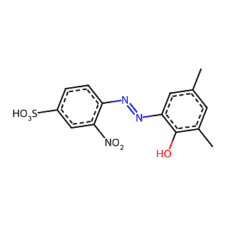 Cc1cc(C)c(O)c(N=Nc2ccc(S(=O)(=O)O)cc2[N+](=O)[O-])c1